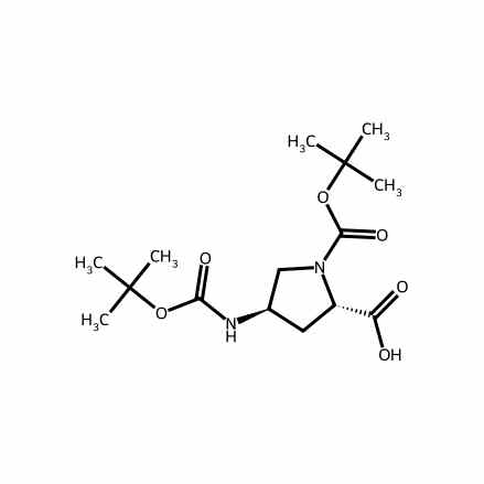 CC(C)(C)OC(=O)N[C@@H]1C[C@@H](C(=O)O)N(C(=O)OC(C)(C)C)C1